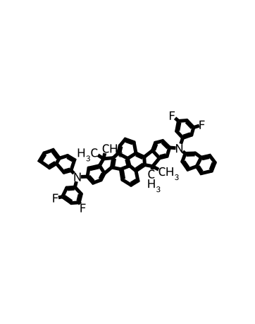 CC1(C)c2cc(N(c3cc(F)cc(F)c3)c3ccc4ccccc4c3)ccc2-c2c1c1cccc3c4c(c5cccc2c5c31)C(C)(C)c1cc(N(c2cc(F)cc(F)c2)c2ccc3ccccc3c2)ccc1-4